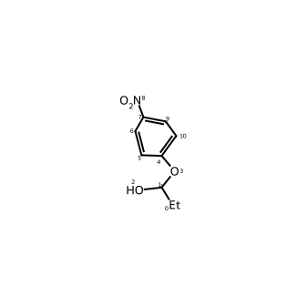 CC[C](O)Oc1ccc([N+](=O)[O-])cc1